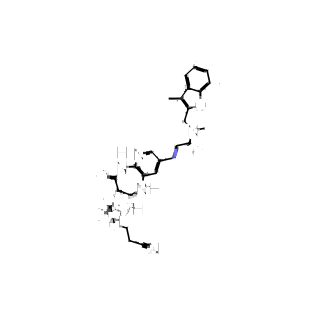 Cc1c(CN(C)C(=O)/C=C/c2cnc3c(c2)N[C@H](C)[C@H](OP(=O)(O)OCCC#N)C(=O)N3)oc2ccccc12